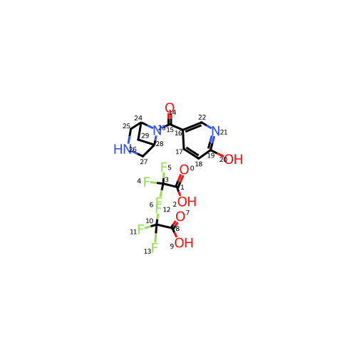 O=C(O)C(F)(F)F.O=C(O)C(F)(F)F.O=C(c1ccc(O)nc1)N1C2CNCC1C2